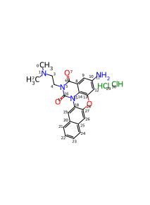 CN(C)CCn1c(=O)c2cc(N)cc3c2n(c1=O)-c1cc2ccccc2cc1O3.Cl.Cl